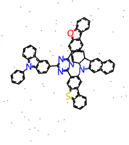 C1=CC2c3cc4ccccc4cc3N(c3cc4c(cc3-c3nc(-c5ccc6c(c5)oc5ccccc56)nc(-c5ccc6c(c5)c5ccccc5n6-c5ccccc5)n3)sc3ccccc34)C2C=C1